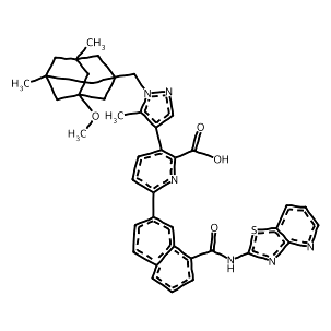 COC12CC3(C)CC(C)(CC(Cn4ncc(-c5ccc(-c6ccc7cccc(C(=O)Nc8nc9ncccc9s8)c7c6)nc5C(=O)O)c4C)(C3)C1)C2